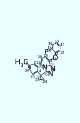 Cc1ccc(C2(c3nnc4c(Oc5ccccc5F)cccn34)CC2)cc1